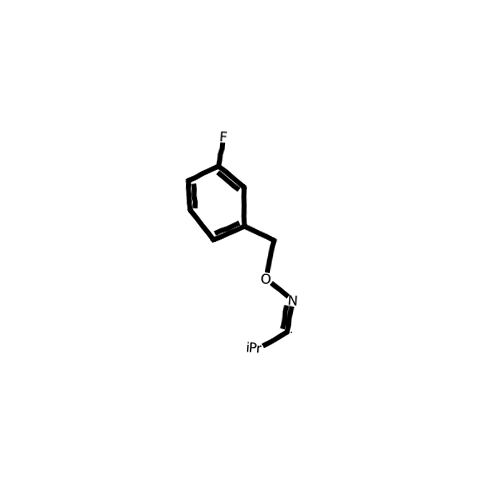 CC(C)/[C]=N\OCc1cccc(F)c1